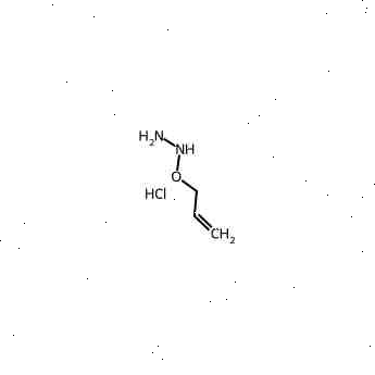 C=CCONN.Cl